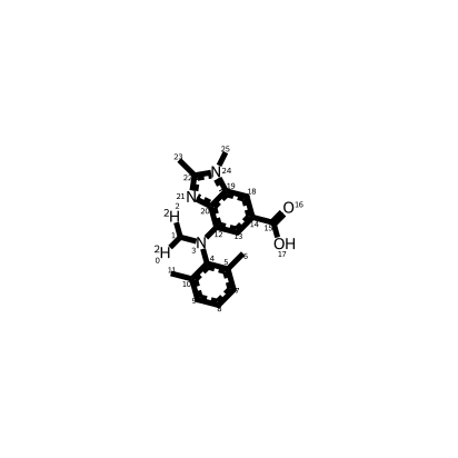 [2H]C([2H])N(c1c(C)cccc1C)c1cc(C(=O)O)cc2c1nc(C)n2C